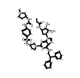 CCC(=O)NC1CC(n2cnc3c(NCC(c4ccccc4)c4ccccc4)nc(N4CC[C@@H](NS(=O)(=O)c5ccc(NC(=O)NC6CCN(C)C6)cc5)C4)nc32)[C@H](O)[C@@H]1O